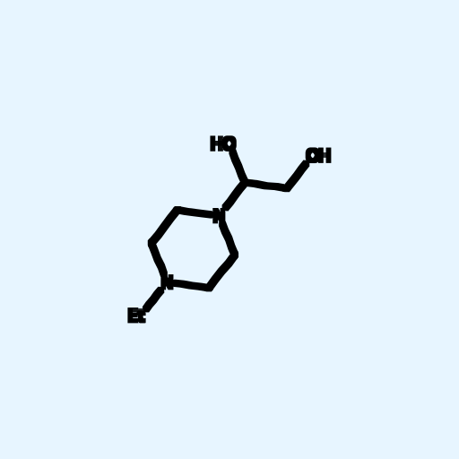 CCN1CCN(C(O)CO)CC1